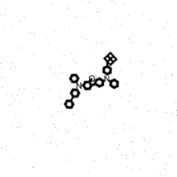 c1ccc(-c2ccc(N(c3ccccc3)c3ccc4c(c3)oc3cc(N(c5ccccc5)c5ccc(C67CC8CC9CC(C6)C987)cc5)ccc34)cc2)cc1